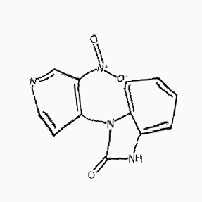 O=c1[nH]c2ccccc2n1-c1ccncc1[N+](=O)[O-]